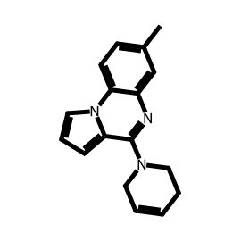 Cc1ccc2c(c1)nc(N1CC=CCC1)c1cccn12